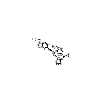 CCn1cnc2cc(C#Cc3nn(C4CCNC4)c4c(C(=O)C5CC5)cnc(N)c34)ccc21